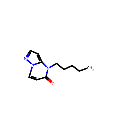 CCCCCn1c(=O)ccn2nccc12